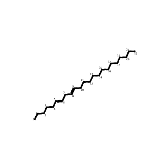 CCCCCC=CCC=CCCCCCCCCCCCCC